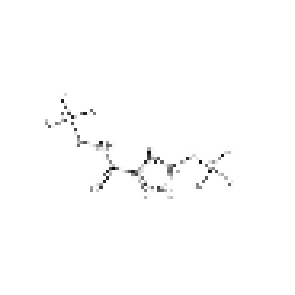 CC(C)(C)CNC(=O)c1csc(CC(C)(C)C)n1